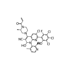 C=CC(=O)N1CCN(C2=C(C#N)C(O)N(c3c(C)ccnc3C(C)C)c3nc(-c4c(O)c(Cl)c(Cl)c(Cl)c4F)c(Cl)cc32)C[C@H]1C